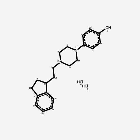 Cl.Cl.Oc1ccc(N2CCN(CCC3CCc4ccccc43)CC2)cc1